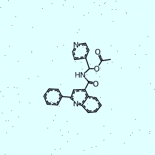 CC(=O)OC(NC(=O)c1cc(-c2ccccc2)nc2ccccc12)c1ccncc1